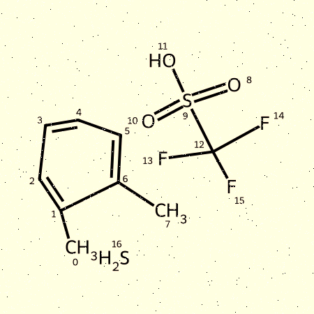 Cc1ccccc1C.O=S(=O)(O)C(F)(F)F.S